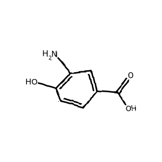 Nc1cc(C(=O)O)c[c]c1O